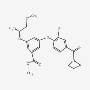 COC[C@H](C)Oc1cc(Oc2ccc(C(=O)N3CCC3)cc2F)cc(C(=O)OC)c1